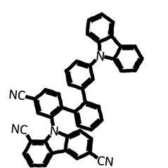 N#Cc1ccc(-c2ccccc2-c2cccc(-n3c4ccccc4c4ccccc43)c2)c(-n2c3ccc(C#N)cc3c3cccc(C#N)c32)c1